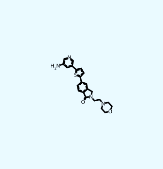 Nc1cncc(-c2ccc(-c3ccc4c(c3)CN(CCN3CCOCC3)C4=O)s2)c1